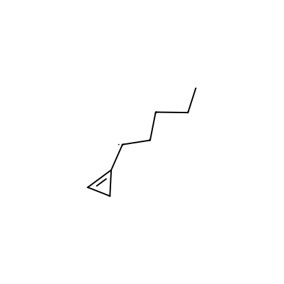 CCCC[CH]C1=CC1